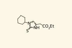 CCOC(=O)Cc1cn(C2CCCCC2)c(=S)[nH]1